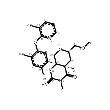 COC[C@H]1C[C@H]2C(=O)N(C)C(=N)N[C@@]2(c2cc(Oc3ncccc3F)c(F)cc2F)CO1